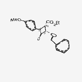 CCOC(=O)[C@@H]1[C@H](OCc2ccccc2)C(=O)N1c1ccc(OC)cc1